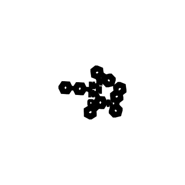 c1ccc(-c2ccc(-c3nc(-c4cc(-n5c6ccccc6c6cc7ccccc7cc65)cc5c4oc4ccccc45)nc(-n4c5ccccc5c5ccccc54)n3)cc2)cc1